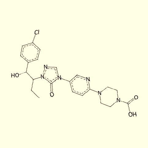 CCC(C(O)c1ccc(Cl)cc1)n1ncn(-c2ccc(N3CCN(C(=O)O)CC3)nc2)c1=O